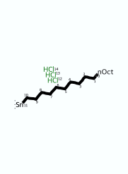 CCCCCCCCCCCCCCCCC[CH2][Sn].Cl.Cl.Cl